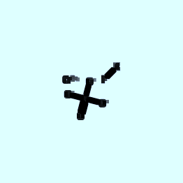 O=P([O-])([O-])[O-].[Cr+3].[F][K]